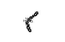 Clc1nc(Nc2ccc(/N=N/c3ccc4ccccc4c3)cc2)nc(Nc2ccc(/N=N/c3ccc4ccccc4c3)cc2)n1